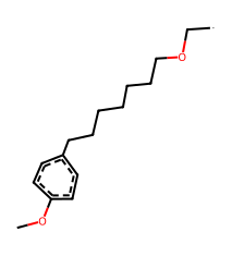 [CH2]COCCCCCCCc1ccc(OC)cc1